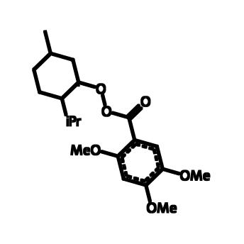 COc1cc(OC)c(C(=O)OO[C]2CC(C)CCC2C(C)C)cc1OC